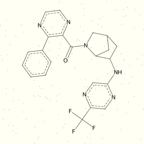 O=C(c1nccnc1-c1ccccc1)N1CC2CC(Nc3cnc(C(F)(F)F)cn3)C1C2